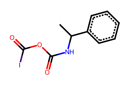 CC(NC(=O)OC(=O)I)c1ccccc1